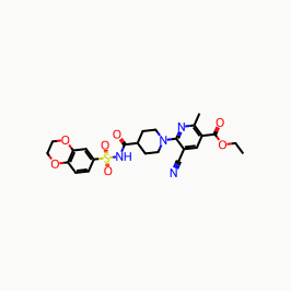 CCOC(=O)c1cc(C#N)c(N2CCC(C(=O)NS(=O)(=O)c3ccc4c(c3)OCCO4)CC2)nc1C